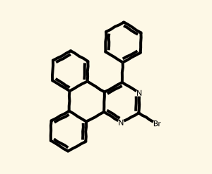 Brc1nc(-c2ccccc2)c2c3ccccc3c3ccccc3c2n1